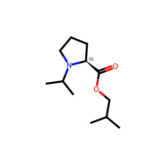 CC(C)COC(=O)[C@@H]1CCCN1C(C)C